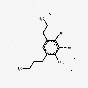 CCCCc1cc(CCC)c(O)c(O)c1C